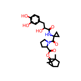 CC1(C)C2CCC1(C)C(OC(=O)C1CCCN1C(=O)C1(NC(=O)C(O)Cc3ccc(O)c(O)c3)CC1)C2